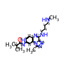 CNCCCCNc1nc2ccc(NC(=O)C(C)C)cc2n2c(C)nnc12